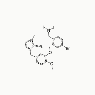 Brc1ccc(CN(I)I)cc1.COc1ccc(Cn2ccn(C)[c]2=[Pt])cc1OC